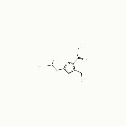 COC(=O)c1sc(CC(C)C)cc1CBr